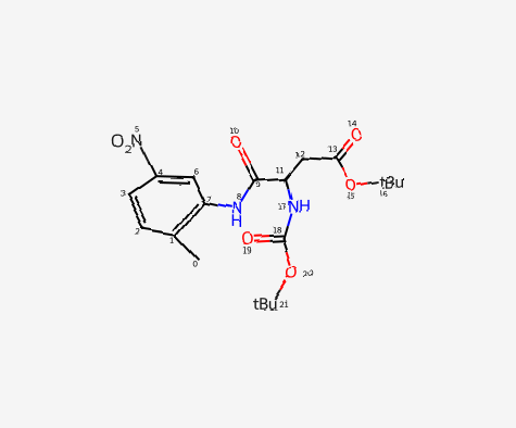 Cc1ccc([N+](=O)[O-])cc1NC(=O)C(CC(=O)OC(C)(C)C)NC(=O)OC(C)(C)C